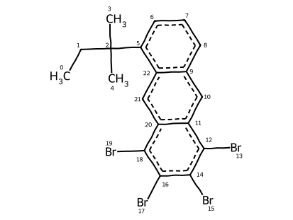 CCC(C)(C)c1cccc2cc3c(Br)c(Br)c(Br)c(Br)c3cc12